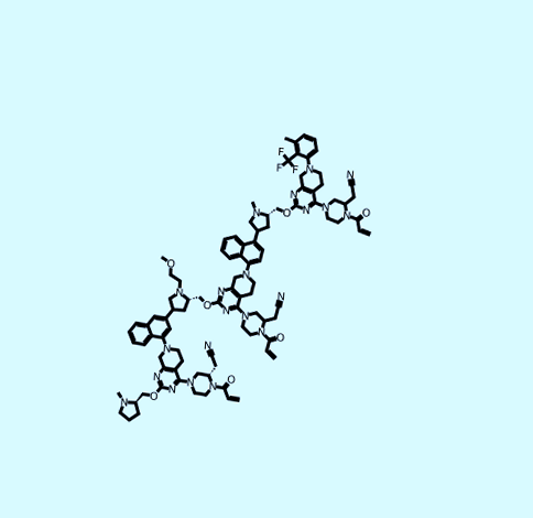 C=CC(=O)N1CCN(c2nc(OC[C@@H]3CC(c4ccc(N5CCc6c(nc(OC[C@@H]7CC(c8cc(N9CCc%10c(nc(OC[C@H]%11CCCN%11C)nc%10N%10CCN(C(=O)C=C)[C@@H](CC#N)C%10)C9)c9ccccc9c8)CN7CCOC)nc6N6CCN(C(=O)C=C)C(CC#N)C6)C5)c5ccccc45)CN3C)nc3c2CCN(c2cccc(C)c2C(F)(F)F)C3)CC1CC#N